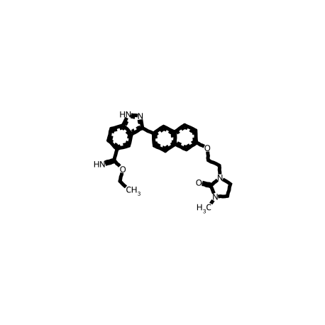 CCOC(=N)c1ccc2[nH]nc(-c3ccc4cc(OCCN5CCN(C)C5=O)ccc4c3)c2c1